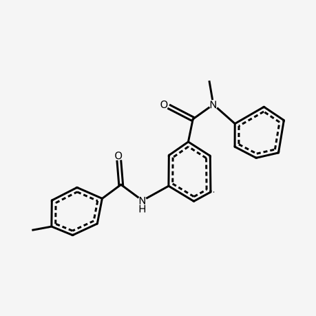 Cc1ccc(C(=O)Nc2c[c]cc(C(=O)N(C)c3ccccc3)c2)cc1